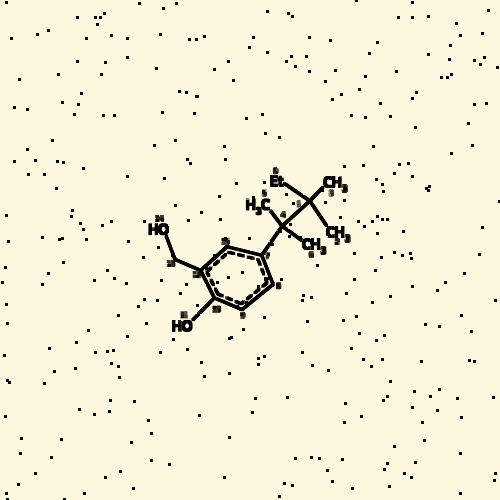 CCC(C)(C)C(C)(C)c1ccc(O)c(CO)c1